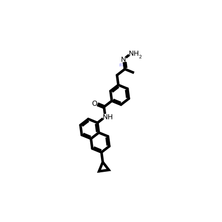 C/C(Cc1cccc(C(=O)Nc2cccc3cc(C4CC4)ccc23)c1)=N\N